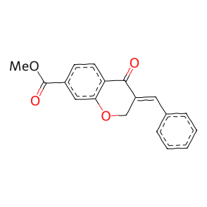 COC(=O)c1ccc2c(c1)OCC(=Cc1ccccc1)C2=O